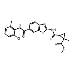 COC(=O)C1(C)CC1C(=O)Nc1nc2ccc(C(=O)Nc3c(C)cccc3Cl)cc2s1